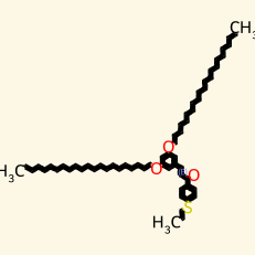 CCCCCCCCCCCCCCCCCCCCCCOc1cc(/C=C/C(=O)c2ccc(SCCC)cc2)cc(OCCCCCCCCCCCCCCCCCCCCCC)c1